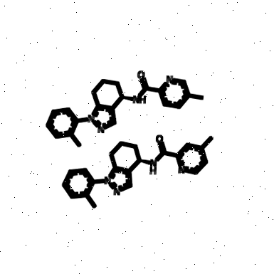 Cc1ccc(C(=O)N[C@@H]2CCCc3c2cnn3-c2ccccc2C)nc1.Cc1ccnc(C(=O)N[C@@H]2CCCc3c2cnn3-c2ccccc2C)c1